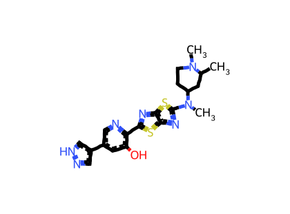 CC1CC(N(C)c2nc3sc(-c4ncc(-c5cn[nH]c5)cc4O)nc3s2)CCN1C